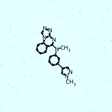 CN(c1cccc(-c2cnn(C)c2)c1)c1nc2nncn2c2ccccc12